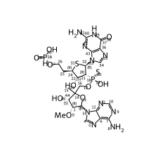 CO[C@H]1[C@H](n2cnc3c(N)ncnc32)OC(C)(COP(O)(=S)[C@@H]2[C@H](O)[C@@H](CCO[PH](=O)O)S[C@H]2n2cnc3c(=O)[nH]c(N)nc32)[C@H]1O